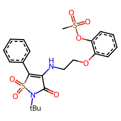 CC(C)(C)N1C(=O)C(NCCOc2ccccc2OS(C)(=O)=O)=C(c2ccccc2)S1(=O)=O